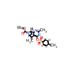 CC1=C2C[C@H](c3nc(C)nc(OS(=O)(=O)c4ccc(C)cc4)c31)N2C(=O)OC(C)(C)C